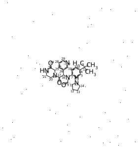 CC(C)(C)c1ccc(N(C(=O)[C@H]2CCCN2)C(C(=O)N2CCNC(=O)C2)c2cccnc2)cc1